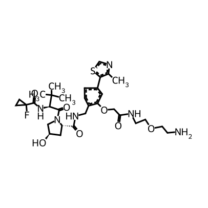 Cc1ncsc1-c1ccc(CNC(=O)[C@@H]2C[C@@H](O)CN2C(=O)[C@@H](NC(=O)C2(F)CC2)C(C)(C)C)c(OCC(=O)NCCOCCN)c1